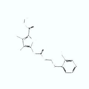 CCOC(=O)c1c(NC(=O)NCCc2ccccc2Cl)sc(C(=O)OC(C)(C)C)c1C